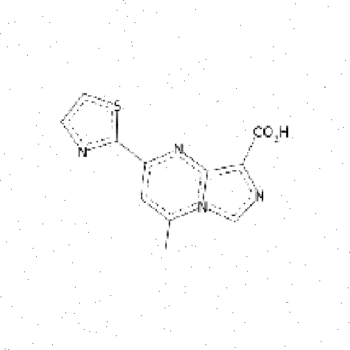 Cc1cc(-c2nccs2)nc2c(C(=O)O)ncn12